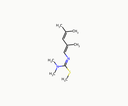 CS/C(=N/C=C(\C)C=C(C)C)N(C)C